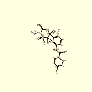 CN1C(=N)N[C@](C)(c2cc(NC(=O)c3ccc(F)cn3)ccc2F)C2(CC2)S1(=O)=O